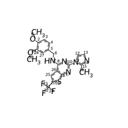 COc1ccc(CNc2nc(-n3ccnc3C)nc3sc(C(F)(F)F)cc23)cc1OC